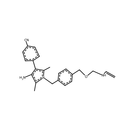 C=CNCOCc1ccc(Cn2c(C)c(N)c(-c3ccc(C#N)cc3)c2C)cc1